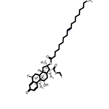 CCCCCCCC/C=C/CCCCCCCC(=O)O[C@]1(C)C[C@H]2[C@@H]3C[C@H](F)C4=CC(=O)C=C[C@]4(C)[C@@]3(F)[C@@H](O)C[C@]2(C)[C@H]1C(=O)SCI